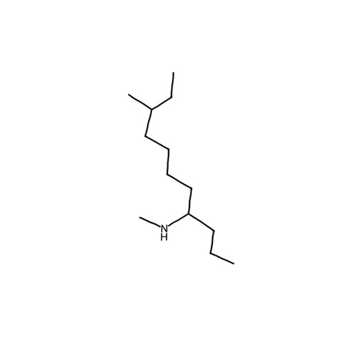 CCCC(CCCCC(C)CC)NC